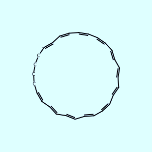 [C]1=C/C=C\C=C/C=C\C=C\C=C\C=C\C=C/C=C/C=C/C=C/C=C\CCCC/1